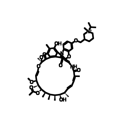 CO[C@H]1/C=C/O[C@@]2(C)Oc3c(C)c(O)c4c(=O)c(c5oc6cc(OCC7CCC[N+](C)(C(C)C)C7)ccc6nc-5c4c3C2=O)NC(=O)/C(C)=C\C=C\[C@H](C)[C@H](O)[C@@H](C)[C@@H](C)[C@@H](C)[C@H](OC(C)=O)[C@@H]1C